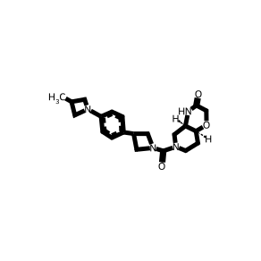 CC1CN(c2ccc(C3CN(C(=O)N4CC[C@@H]5OCC(=O)N[C@@H]5C4)C3)cc2)C1